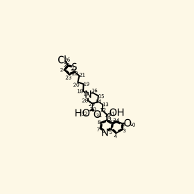 COc1ccc2nccc([C@H](O)CC[C@@H]3CCN(CCCCc4ccc(Cl)s4)C[C@@H]3C(=O)O)c2c1